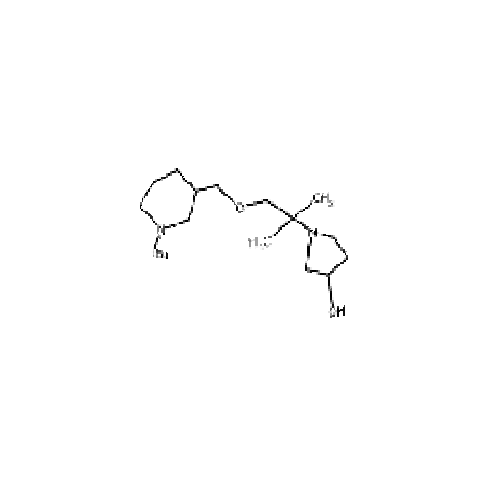 CC(C)(C)N1CCCC(COCC(C)(C)N2CCC(O)C2)C1